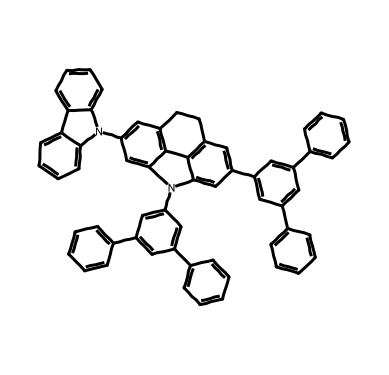 c1ccc(-c2cc(-c3ccccc3)cc(-c3cc4c5c6c(cc(-n7c8ccccc8c8ccccc87)cc6n(-c6cc(-c7ccccc7)cc(-c7ccccc7)c6)c5c3)CC4)c2)cc1